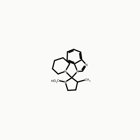 CC1CCN(C(=O)O)C1(N1CCCCC1)n1cnc2ccccc21